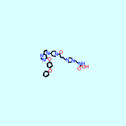 O=C(O)NCCN1CCN(C/C=C/C(=O)N2CCC(n3ccc4ncnc(Oc5ccc(Oc6ccccc6)cc5)c43)CC2)CC1